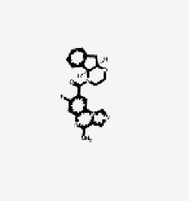 Nc1nc2cc(F)c(C(=O)N3CCO[C@@H]4Cc5ccccc5[C@@H]43)cc2n2cncc12